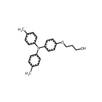 Cc1ccc(N(c2ccc(C)cc2)c2ccc(OCCCO)cc2)cc1